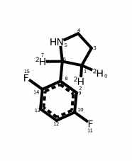 [2H]C1([2H])CCNC1([2H])c1cc(F)ccc1F